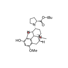 COc1cc(O)c2c3c1C[C@@H]1[C@@H]4CC[C@@H](N5CCC[C@H]5C(=O)OC(C)(C)C)[C@H](O2)[C@]34CCN1C